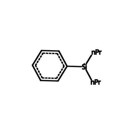 CCC[Si](CCC)c1ccccc1